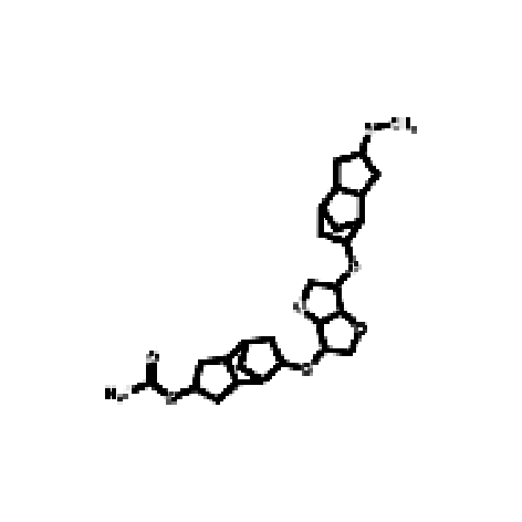 CSC1CC2C3CC(OC4COC5C(OC6CC7CC6C6CC(SC(C)=O)CC76)COC45)C(C3)C2C1